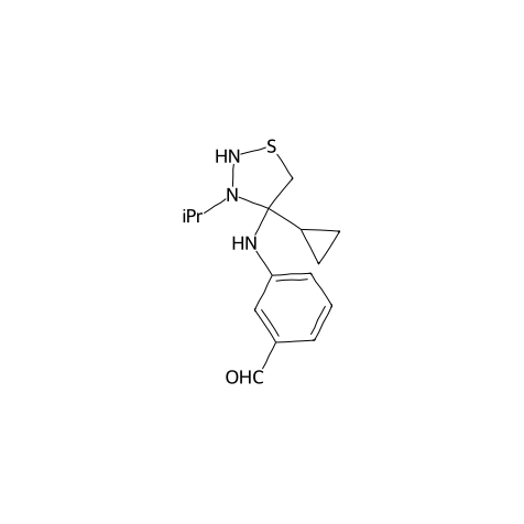 CC(C)N1NSCC1(Nc1cccc(C=O)c1)C1CC1